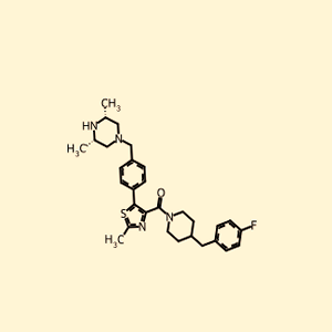 Cc1nc(C(=O)N2CCC(Cc3ccc(F)cc3)CC2)c(-c2ccc(CN3C[C@@H](C)N[C@@H](C)C3)cc2)s1